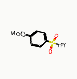 [CH2]CCS(=O)(=O)c1ccc(OC)cc1